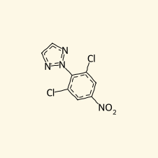 O=[N+]([O-])c1cc(Cl)c(-n2nccn2)c(Cl)c1